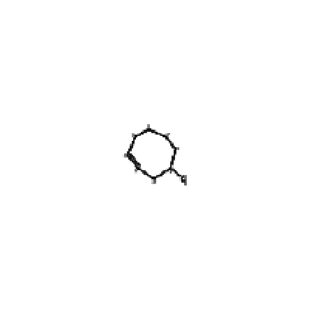 ClC1CC=CCCCC1